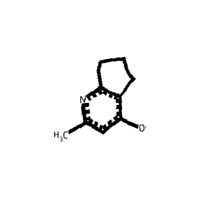 Cc1cc([O])c2c(n1)CCC2